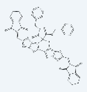 O=C1C(=Cc2nc3sc4c(c3s2)OC(C(=O)OCc2ccccc2)(C(=O)OCc2ccccc2)c2c-4sc3nc(C=C4C(=O)C5=CCCC=C5C4=O)sc23)C(=O)C2=CCCC=C12